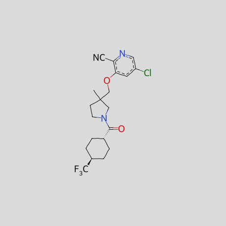 CC1(COc2cc(Cl)cnc2C#N)CCN(C(=O)[C@H]2CC[C@H](C(F)(F)F)CC2)C1